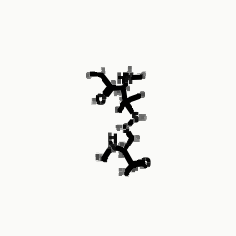 CCC(=O)[C@@H](NC)C(C)(C)SSC[C@H](NC)C(C)=O